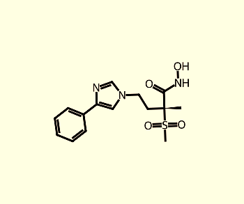 C[C@@](CCn1cnc(-c2ccccc2)c1)(C(=O)NO)S(C)(=O)=O